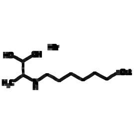 Br.CCCCCCCCCCCCCCNC(C)C(O)O